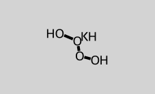 OOOO.[KH]